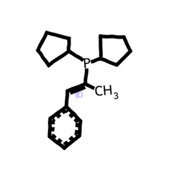 C/C(=C\c1ccccc1)P(C1CCCC1)C1CCCC1